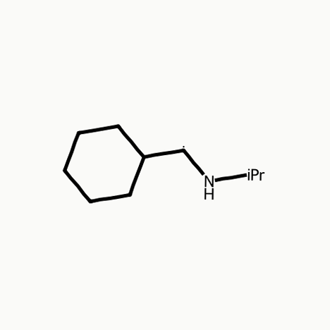 CC(C)N[CH]C1CCCCC1